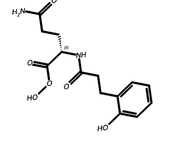 NC(=O)CC[C@H](NC(=O)CCc1ccccc1O)C(=O)OO